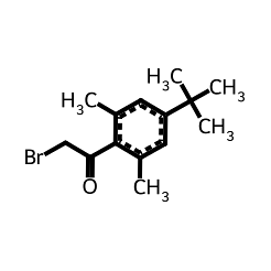 Cc1cc(C(C)(C)C)cc(C)c1C(=O)CBr